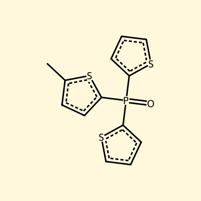 Cc1ccc(P(=O)(c2cccs2)c2cccs2)s1